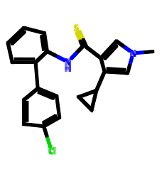 Cn1cc(C(=S)Nc2ccccc2-c2ccc(Cl)cc2)c(C2CC2)c1